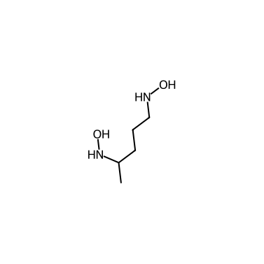 CC(CCCNO)NO